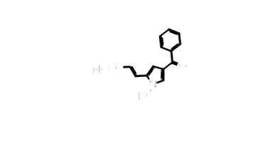 Cn1cc(C(=O)c2ccccc2)cc1C=CC(=O)O